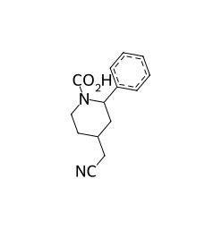 N#CCC1CCN(C(=O)O)C(c2ccccc2)C1